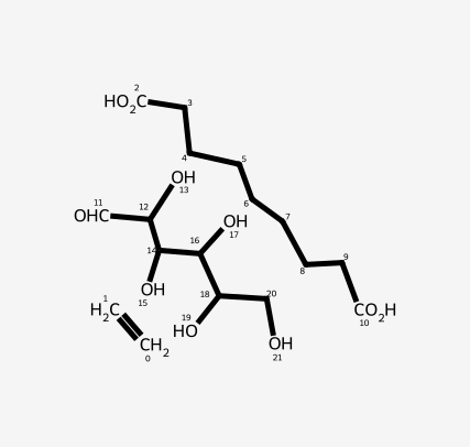 C=C.O=C(O)CCCCCCCC(=O)O.O=CC(O)C(O)C(O)C(O)CO